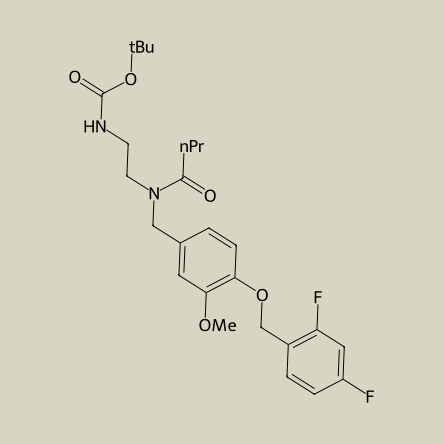 CCCC(=O)N(CCNC(=O)OC(C)(C)C)Cc1ccc(OCc2ccc(F)cc2F)c(OC)c1